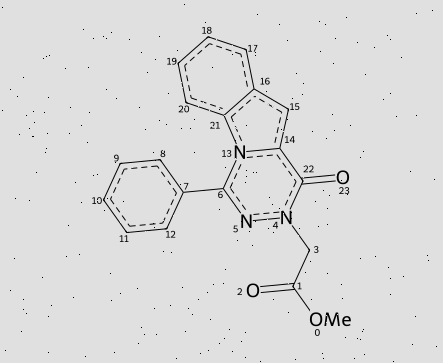 COC(=O)Cn1nc(-c2ccccc2)n2c(cc3ccccc32)c1=O